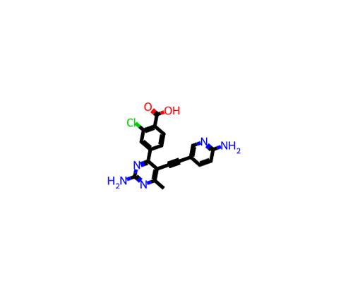 Cc1nc(N)nc(-c2ccc(C(=O)O)c(Cl)c2)c1C#Cc1ccc(N)nc1